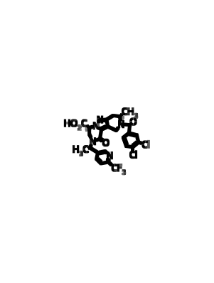 CC(c1ccc(C(F)(F)F)nc1)N1C[C@@H](C(=O)O)n2nc3c(c2C1=O)CN(C(=O)c1ccc(Cl)c(Cl)c1)[C@H](C)C3